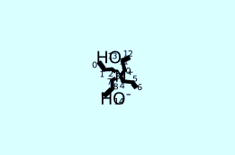 C=CC[N+](CC=C)(CC=C)CC(=C)O.[OH-]